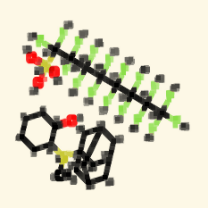 C[S+](C1CCCCC1=O)C12CC3CC(CC(C3)C1)C2.O=S(=O)([O-])C(F)(F)C(F)(F)C(F)(F)C(F)(F)C(F)(F)C(F)(F)C(F)(F)C(F)(F)F